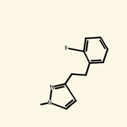 Cn1ccc(CCc2ccccc2F)n1